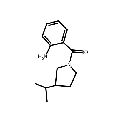 CC(C)C1CCN(C(=O)c2ccccc2N)C1